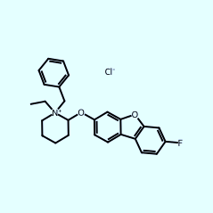 CC[N+]1(Cc2ccccc2)CCCCC1Oc1ccc2c(c1)oc1cc(F)ccc12.[Cl-]